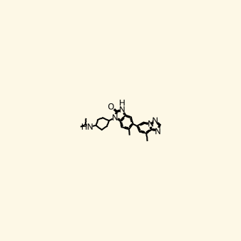 Cc1cc2c(cc1-c1cc(C)c3ncnn3c1)[nH]c(=O)n2C1CCC(NC(C)C)CC1